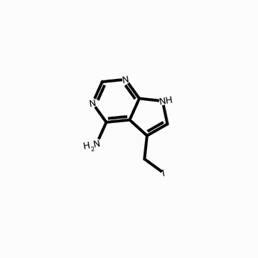 Nc1ncnc2[nH]cc(CI)c12